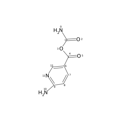 NC(=O)OC(=O)c1ccc(N)nc1